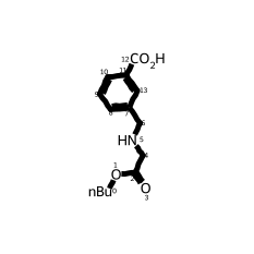 CCCCOC(=O)CNCc1cccc(C(=O)O)c1